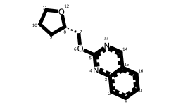 c1ccc2nc(OC[C@@H]3CCCO3)ncc2c1